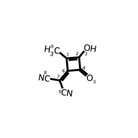 CC1=C(O)C(=O)C1=C(C#N)C#N